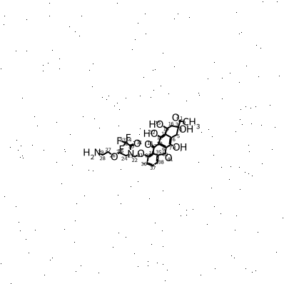 CC(=O)C1(O)Cc2c(O)c3c(c(O)c2C(O)C1)C(=O)c1c(OCN(CCOCCN)C(=O)C(F)(F)F)cccc1C3=O